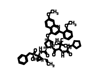 C=C[C@@H]1C[C@]1(NC(=O)[C@@H]1C[C@@H](Oc2cc(-c3ccccc3OC)nc3cc(OC)ccc23)CN1C(=O)C(NC(=O)OC1CCCC1)C(C)(C)C)P(=O)(O)Cc1ccccc1